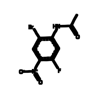 CC(=O)Nc1cc(F)c([N+](=O)[O-])cc1Br